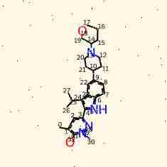 Cc1cc(-c2[nH]c3ccc(C4CCN(C5CCCOC5)CC4)cc3c2C(C)C)nn(C)c1=O